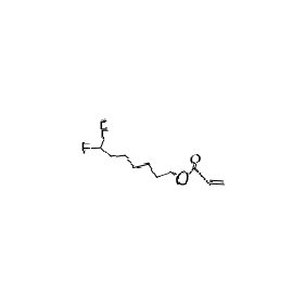 C=CC(=O)OCCCCCCC(F)F